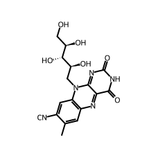 [C-]#[N+]c1cc2c(cc1C)nc1c(=O)[nH]c(=O)nc-1n2C[C@H](O)[C@H](O)[C@H](O)CO